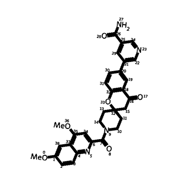 COc1ccc2nc(C(=O)N3CCC4(CC3)CC(=O)c3cc(-c5cncc(C(N)=O)c5)ccc3O4)cc(OC)c2c1